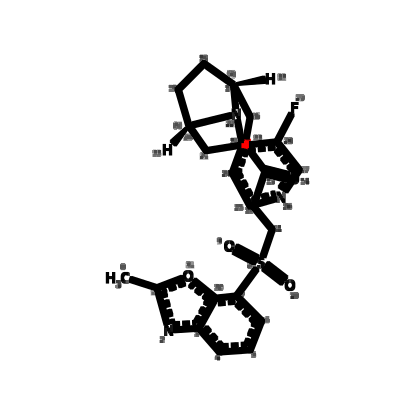 Cc1nc2cccc(S(=O)(=O)CCC(=O)N3C[C@H]4CC[C@@H](C3)N4c3ccncc3F)c2o1